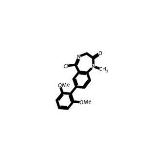 COc1cccc(OC)c1-c1ccc2c(c1)C(Cl)=NCC(=O)N2C